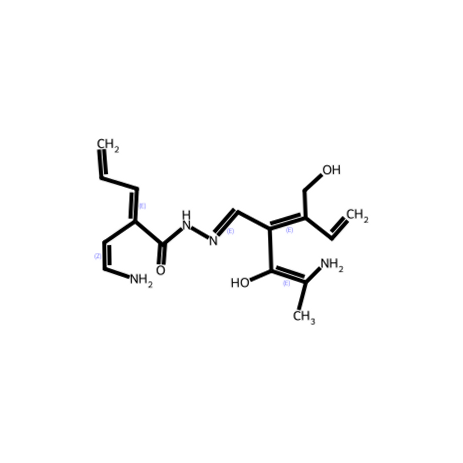 C=C/C=C(\C=C/N)C(=O)N/N=C/C(=C(/C=C)CO)C(/O)=C(/C)N